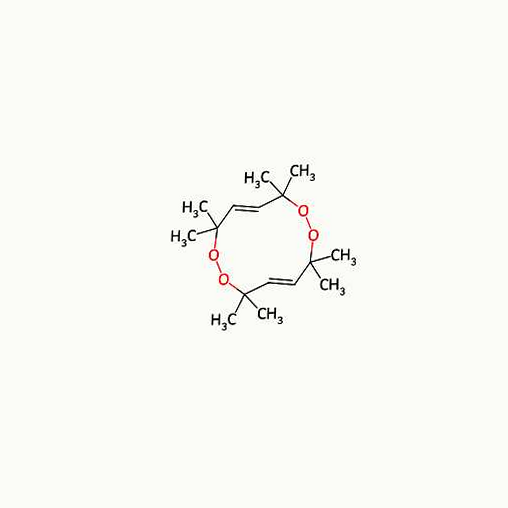 CC1(C)/C=C/C(C)(C)OOC(C)(C)/C=C/C(C)(C)OO1